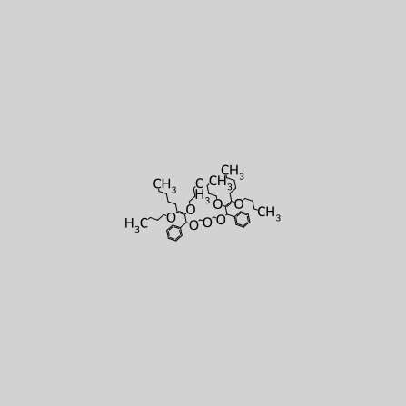 CCCCCC(OCCCC)=C(OCCCC)C(OCOCOC(C(OCCCC)=C(CCCCC)OCCCC)c1ccccc1)c1ccccc1